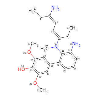 CC/C(N)=C\C=C(/CC)N(C)c1c(N)cccc1-c1cc(OC)c(O)c(OC)c1